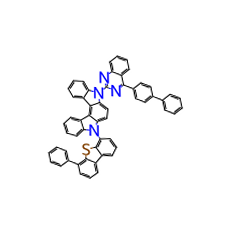 c1ccc(-c2ccc(-c3nc(-n4c5ccccc5c5c6c7ccccc7n(-c7cccc8c7sc7c(-c9ccccc9)cccc78)c6ccc54)nc4ccccc34)cc2)cc1